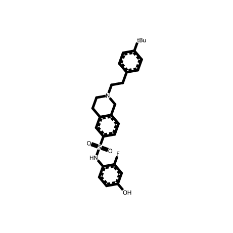 CC(C)(C)c1ccc(CCN2CCc3cc(S(=O)(=O)Nc4ccc(O)cc4F)ccc3C2)cc1